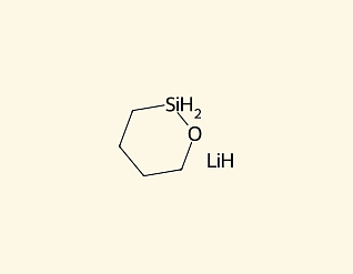 C1CC[SiH2]OC1.[LiH]